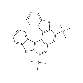 CS(C)(C)c1cc2cc(S(C)(C)C)c3sc4ccccc4c3c2c2c1sc1ccccc12